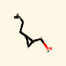 CCCCCCC1CC1CO